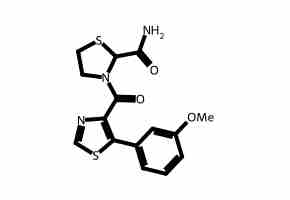 COc1cccc(-c2scnc2C(=O)N2CCSC2C(N)=O)c1